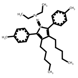 CCCCCC1=C(c2ccc(C)cc2)[N+](=[N-])C(c2ccc(C)cc2)=C1CCCCC.C[CH2][Pd][CH2]C